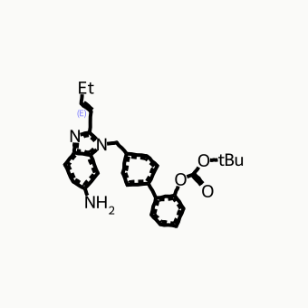 CC/C=C/c1nc2ccc(N)cc2n1Cc1ccc(-c2ccccc2OC(=O)OC(C)(C)C)cc1